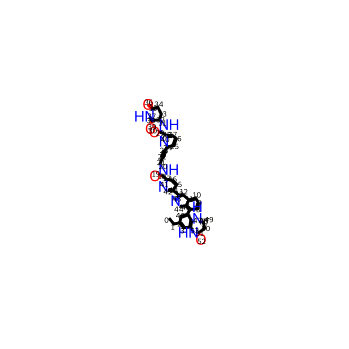 CCc1cc2c(c(-c3cccc4cc(-c5ccc(C(=O)NCC#Cc6cccc(C(=O)NC7CCC(=O)NC7=O)n6)nc5)ncc34)c1)N[C@H](C)CC(=O)N2